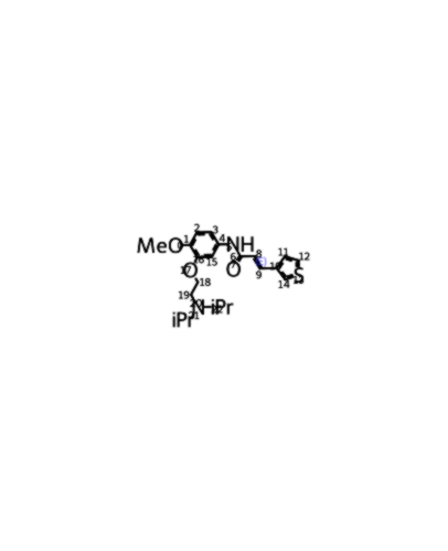 COc1ccc(NC(=O)/C=C/c2ccsc2)cc1OCCN(C(C)C)C(C)C